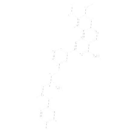 COc1cc2ncc3c(N)nc(-c4cncc(OC[C@H](N)CN(C)Cc5ccc(F)cc5)c4)cc3c2cc1OC